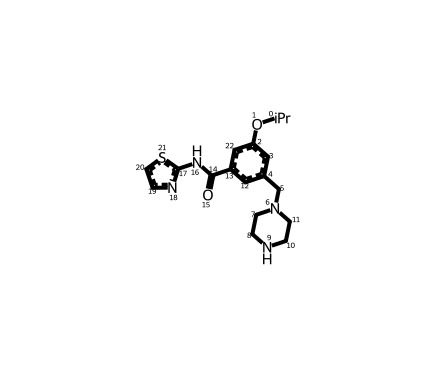 CC(C)Oc1cc(CN2CCNCC2)cc(C(=O)Nc2nccs2)c1